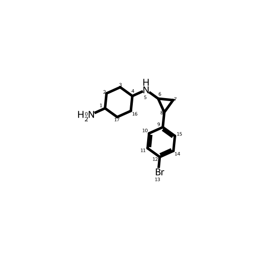 NC1CCC(NC2CC2c2ccc(Br)cc2)CC1